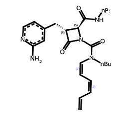 C=C/C=C\C=C/N(CCCC)C(=O)N1C(=O)[C@H](Cc2ccnc(N)c2)[C@H]1C(=O)NCCC